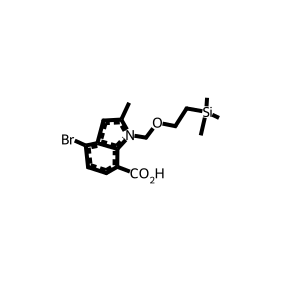 Cc1cc2c(Br)ccc(C(=O)O)c2n1COCC[Si](C)(C)C